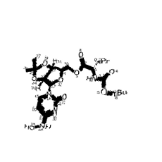 CC(C)[C@H](NC(=O)OC(C)(C)C)C(=O)OCC1O[C@@H](n2ccc(NO)nc2=O)[C@@H]2OC(C)(C)O[C@H]12